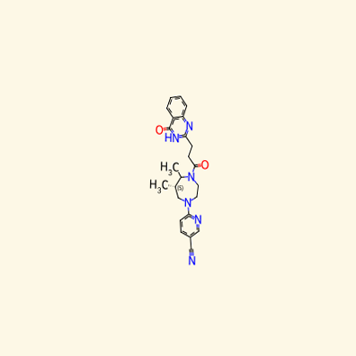 CC1[C@@H](C)CN(c2ccc(C#N)cn2)CCN1C(=O)CCc1nc2ccccc2c(=O)[nH]1